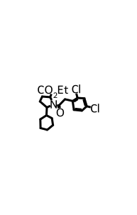 CCOC(=O)C1CCC(C2CCCCC2)N1C(=O)Cc1ccc(Cl)cc1Cl